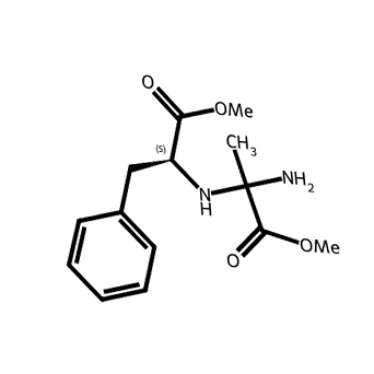 COC(=O)[C@H](Cc1ccccc1)NC(C)(N)C(=O)OC